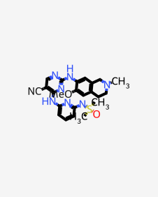 COc1cc2c(cc1Nc1ncc(C#N)c(Nc3cccc(N=S(C)(C)=O)n3)n1)CN(C)CC2